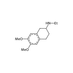 CCNC1CCc2cc(OC)c(OC)cc2C1